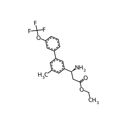 CCOC(=O)C[C@H](N)c1cc(C)cc(-c2cccc(OC(F)(F)F)c2)c1